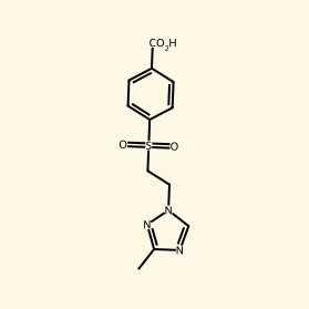 Cc1ncn(CCS(=O)(=O)c2ccc(C(=O)O)cc2)n1